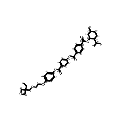 CCC1(COCCOc2ccc(OC(=O)c3ccc(OC(=O)c4ccc(C(=O)OC5CC(C)CCC5C(C)C)cc4)cc3)cc2)COC1